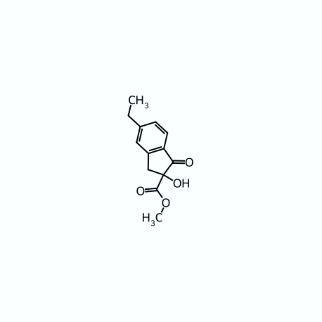 CCc1ccc2c(c1)CC(O)(C(=O)OC)C2=O